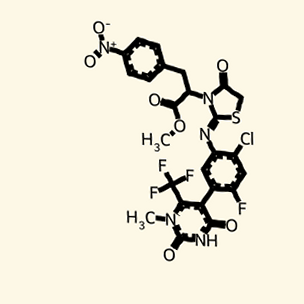 COC(=O)C(Cc1ccc([N+](=O)[O-])cc1)N1C(=O)CSC1=Nc1cc(-c2c(C(F)(F)F)n(C)c(=O)[nH]c2=O)c(F)cc1Cl